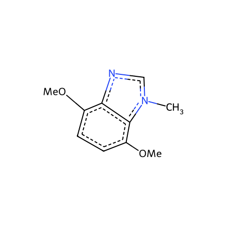 COc1ccc(OC)c2c1ncn2C